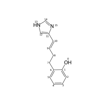 Oc1ccccc1CCC=Cc1c[nH]cn1